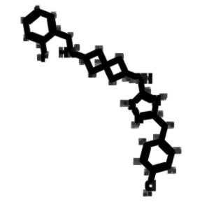 Fc1ccccc1CNC1CC2(C1)CC(Nc1nc(Cc3ccc(Cl)cc3)ns1)C2